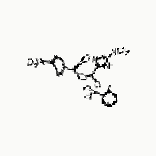 Cc1ccccc1S(=O)(=O)OC(OC(=O)c1ccc([N+](=O)[O-])cc1)c1ncc([N+](=O)[O-])[nH]1